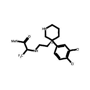 CNC(=O)C(NCC[C@]1(c2ccc(Cl)c(Cl)c2)CCCNC1)C(F)(F)F